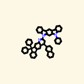 c1ccc(-n2c3ccccc3c3cc4c5ccccc5n(-c5cc(-c6ccc7ccccc7c6)c6cc7c(cc6n5)C(c5ccccc5)(c5ccccc5)c5ccccc5-7)c4cc32)cc1